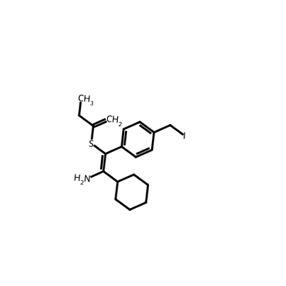 C=C(CC)S/C(=C(\N)C1CCCCC1)c1ccc(CI)cc1